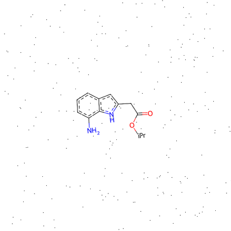 CC(C)OC(=O)Cc1cc2cccc(N)c2[nH]1